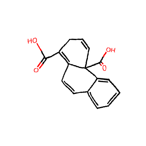 O=C(O)C1=C2C=Cc3ccccc3C2(C(=O)O)C=CC1